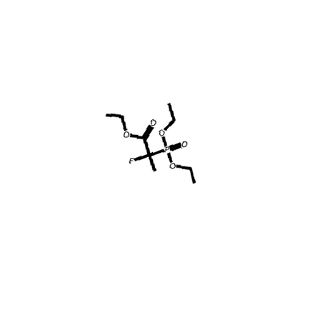 CCOC(=O)C(C)(F)P(=O)(OCC)OCC